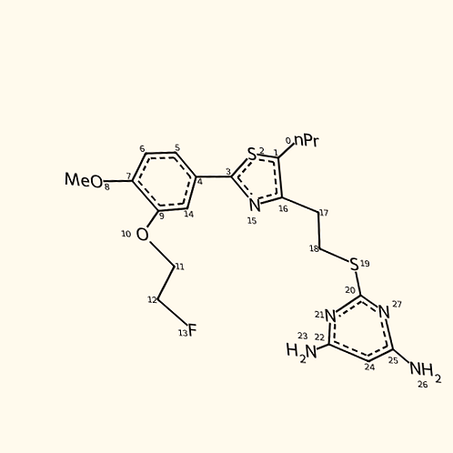 CCCc1sc(-c2ccc(OC)c(OCCF)c2)nc1CCSc1nc(N)cc(N)n1